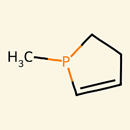 CP1C=CCC1